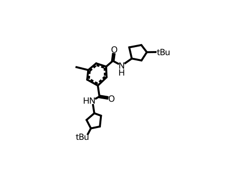 Cc1cc(C(=O)NC2CCC(C(C)(C)C)C2)cc(C(=O)NC2CCC(C(C)(C)C)C2)c1